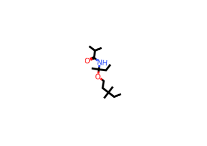 CCC(C)(C)CCOC(C)(CC)NC(=O)C(C)C